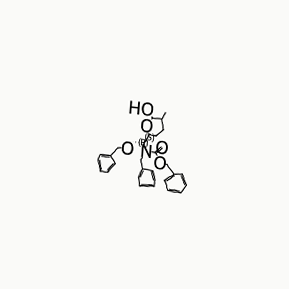 CC1CC[C@@H]([C@@H](COCc2ccccc2)N(Cc2ccccc2)C(=O)OCc2ccccc2)OC1O